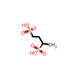 [CH2]C(C[CH]S(=O)(=O)O)S(=O)(=O)O